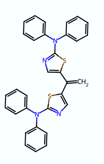 C=C(c1cnc(N(c2ccccc2)c2ccccc2)s1)c1cnc(N(c2ccccc2)c2ccccc2)s1